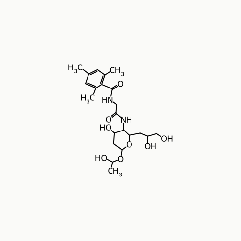 Cc1cc(C)c(C(=O)NCC(=O)NC2C(O)CC(OC(C)O)OC2CC(O)CO)c(C)c1